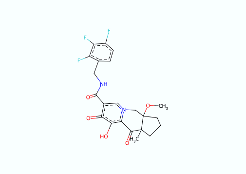 COC12CCCC1(C)C(=O)c1c(O)c(=O)c(C(=O)NCc3ccc(F)c(F)c3F)cn1C2